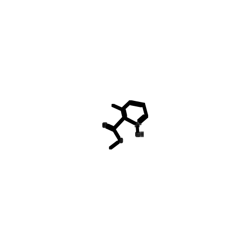 COC(=O)c1c(C)ccc[n+]1O